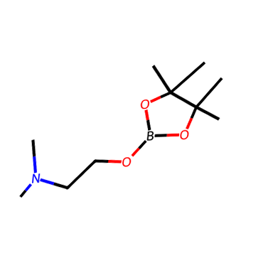 CN(C)CCOB1OC(C)(C)C(C)(C)O1